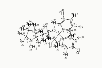 [2H]c1c([2H])c([2H])c([C@@](OC([2H])([2H])C([2H])([2H])[C@]2([2H])N(C)C([2H])([2H])C([2H])([2H])C2([2H])[2H])(c2c([2H])c([2H])c(Cl)c([2H])c2[2H])C([2H])([2H])[2H])c([2H])c1[2H]